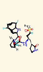 CS(=O)(=O)/C(F)=C/[C@@H](C[C@@H]1CCNC1=O)NC(=O)[C@H]1[C@H]2CC[C@H](CC2(F)F)N1C(=O)c1cc2c(F)ccc(F)c2[nH]1